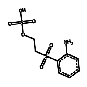 Nc1ccccc1S(=O)(=O)CCOS(=O)(=O)O